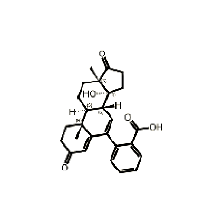 C[C@]12CCC(=O)C=C1C(c1ccccc1C(=O)O)=C[C@@H]1[C@@H]2CC[C@]2(C)C(=O)CC[C@@]12O